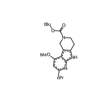 CCCc1cc(OC)c2c3c([nH]c2n1)CCN(C(=O)OC(C)(C)C)C3